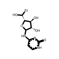 CCC(O)[C@H]1OC(Nc2cc[nH]c(=O)n2)[C@@H](O)[C@@H]1O